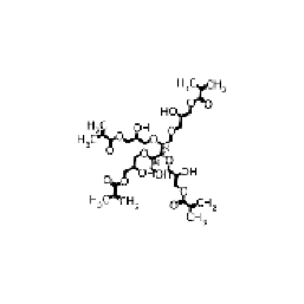 C=C(C)C(=O)OCC(O)COC[C@H](OCC(O)COC(=O)C(=C)C)[C@H](OCC(O)COC(=O)C(=C)C)[C@@H](CO)OCC(O)COC(=O)C(=C)C